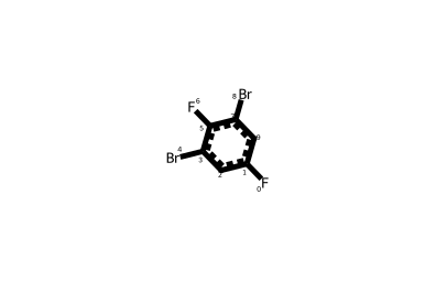 Fc1cc(Br)c(F)c(Br)c1